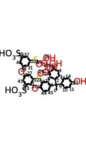 CC(c1ccc(O)cc1)(c1ccc(O)cc1)c1ccc(Oc2c(SOOO)cc(Oc3cc(SOOO)cc(S(=O)(=O)O)c3)cc2S(=O)(=O)O)cc1